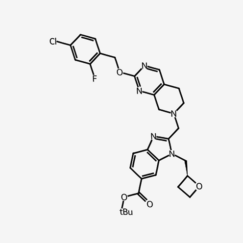 CC(C)(C)OC(=O)c1ccc2nc(CN3CCc4cnc(OCc5ccc(Cl)cc5F)nc4C3)n(C[C@@H]3CCO3)c2c1